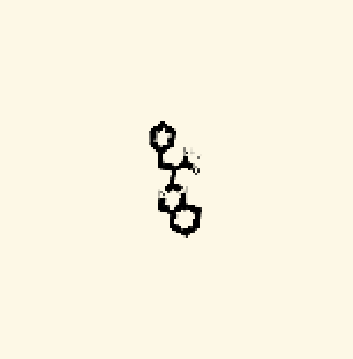 NC(=O)/C(=C\c1ccccc1)c1ncc2ccccc2n1